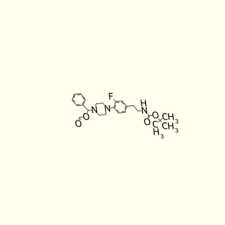 CC(C)(C)OC(=O)NCCc1ccc(N2CCN(C(OC=O)c3ccccc3)CC2)c(F)c1